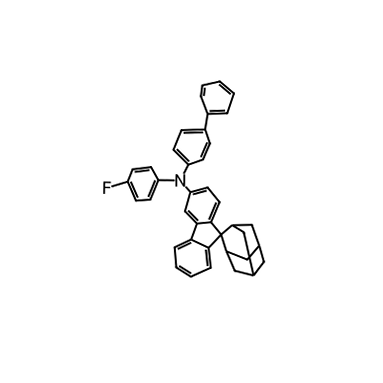 Fc1ccc(N(c2ccc(-c3ccccc3)cc2)c2ccc3c(c2)-c2ccccc2C32C3CC4CC(C3)CC2C4)cc1